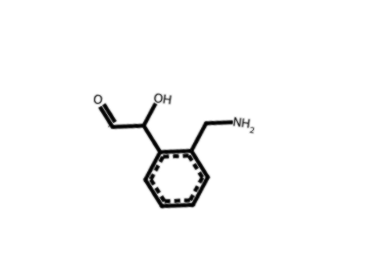 NCc1ccccc1C(O)[C]=O